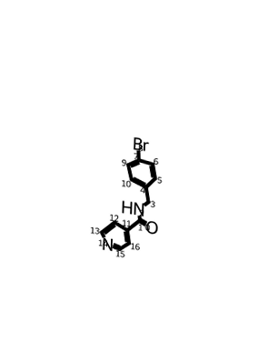 O=C(NCc1ccc(Br)cc1)c1ccncc1